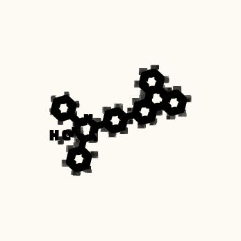 CN1C(c2ccccc2)=NC(c2ccc(-c3ccc4c5ccccc5c5ccccc5c4c3)cc2)=NC1c1ccccc1